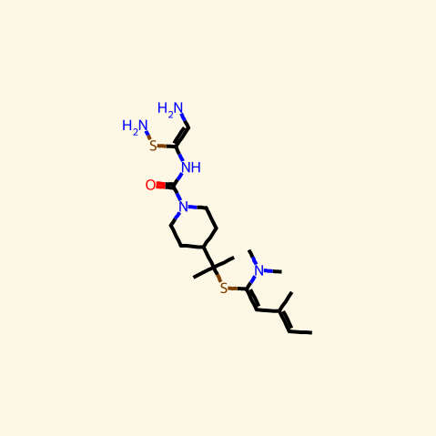 C/C=C(C)/C=C(/SC(C)(C)C1CCN(C(=O)N/C(=C/N)SN)CC1)N(C)C